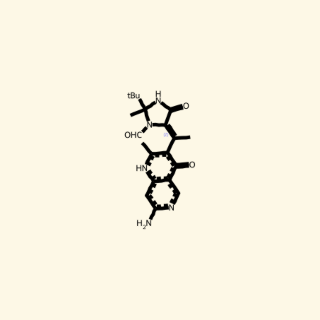 C/C(=C1\C(=O)NC(C)(C(C)(C)C)N1C=O)c1c(C)[nH]c2cc(N)ncc2c1=O